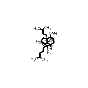 COC1=CC[C@@H]2C(C)(CCC=C(C)C)[C@H]3C[C@@]1(CC=C(C)C)[C@@]2(C)O3